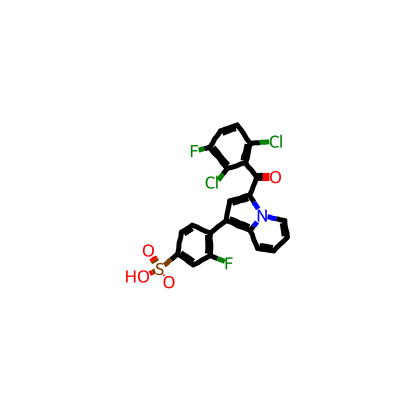 O=C(c1c(Cl)ccc(F)c1Cl)c1cc(-c2ccc(S(=O)(=O)O)cc2F)c2ccccn12